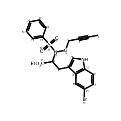 CC#CCON(C(Cc1c[nH]c2ccc(Br)cc12)C(=O)OCC)S(=O)(=O)c1ccccc1